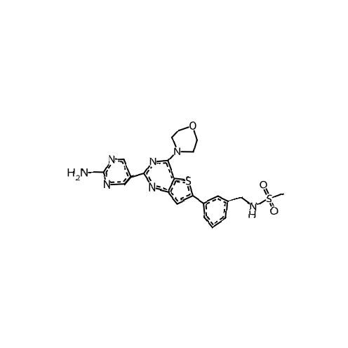 CS(=O)(=O)NCc1cccc(-c2cc3nc(-c4cnc(N)nc4)nc(N4CCOCC4)c3s2)c1